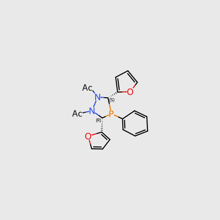 CC(=O)N1[C@@H](c2ccco2)P(c2ccccc2)[C@@H](c2ccco2)N1C(C)=O